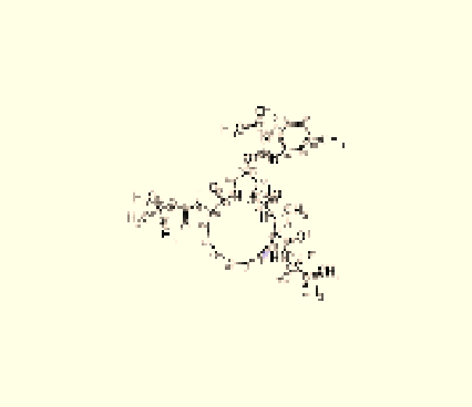 CC[C@]1(C(=O)NS(=O)(=O)N(C)C)/C=C\CCCCC[C@H](NC(=O)OC(C)(C)C)C(=O)N2C[C@H](Oc3nc4cc(C)ccc4n3C(C)C)C[C@H]2C(=O)N1